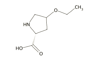 CCOC1CN[C@@H](C(=O)O)C1